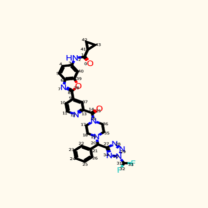 O=C(Nc1ccc2nc(-c3ccnc(C(=O)N4CCN(C(c5ccccc5)c5nnn(C(F)F)n5)CC4)c3)oc2c1)C1CC1